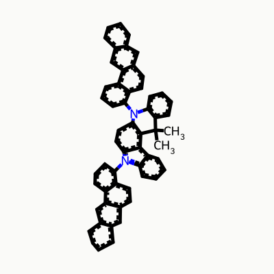 CC1(C)c2ccccc2N(c2cccc3c2ccc2cc4ccccc4cc23)c2ccc3c(c21)c1ccccc1n3-c1cccc2c1ccc1cc3ccccc3cc12